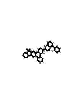 CC1(C)c2ccccc2-c2cc3c4ccccc4c4cc(-c5ccc6c(-c7ccccc7)cccc6n5)ccc4c3cc21